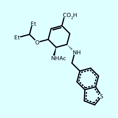 CCC(CC)OC1C=C(C(=O)O)C[C@H](NCc2ccc3sccc3c2)[C@H]1NC(C)=O